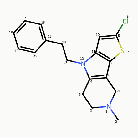 CN1CCc2c(c3sc(Cl)cc3n2CCc2ccccc2)C1